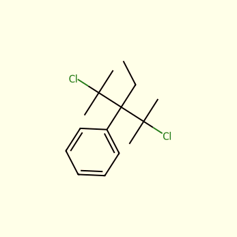 CCC(c1ccccc1)(C(C)(C)Cl)C(C)(C)Cl